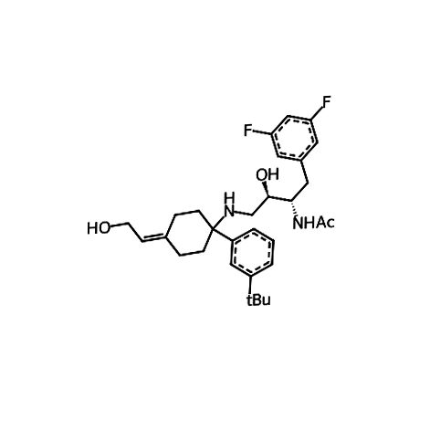 CC(=O)N[C@@H](Cc1cc(F)cc(F)c1)[C@H](O)CNC1(c2cccc(C(C)(C)C)c2)CCC(=CCO)CC1